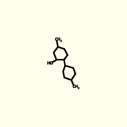 CC1CCC(C2CCC(C)CC2O)CC1